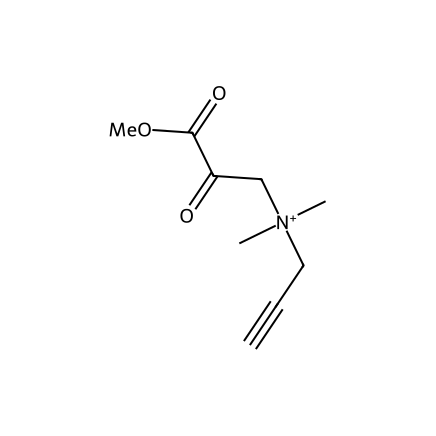 C#CC[N+](C)(C)CC(=O)C(=O)OC